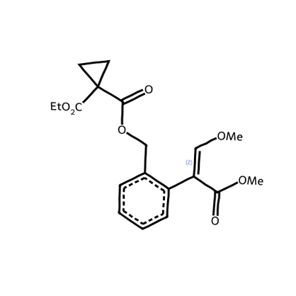 CCOC(=O)C1(C(=O)OCc2ccccc2/C(=C/OC)C(=O)OC)CC1